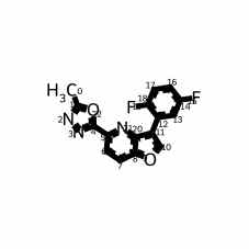 Cc1nnc(-c2ccc3occ(-c4cc(F)ccc4F)c3n2)o1